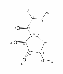 CCC(C)C(=O)N1CCN(CC)C(=O)C1=O